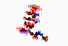 CC(CCc1ccccc1)NCC(O)c1ccc(O)c(C(N)=O)c1.CC[C@@H](C)C(=O)O[C@@H]1[C@H](OC(C)=O)c2c(ccc3ccc(=O)oc23)OC1(C)C.COCCc1ccc(OCC(O)CNC(C)C)cc1.COc1ccc(CCN(C)CCCC(C#N)(c2ccc(OC)c(OC)c2)C(C)C)cc1OC.COc1ccc([C@@H]2Sc3ccccc3N(CCN(C)C)C(=O)[C@@H]2OC(C)=O)cc1.Cl.Cl.O=C(O)C(O)C(O)C(=O)O